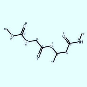 CNC(=O)CC(C)OC(=O)COC(=O)OC